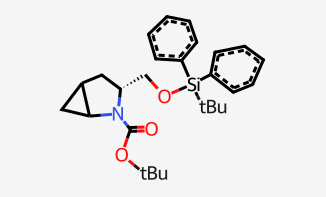 CC(C)(C)OC(=O)N1C2CC2C[C@@H]1CO[Si](c1ccccc1)(c1ccccc1)C(C)(C)C